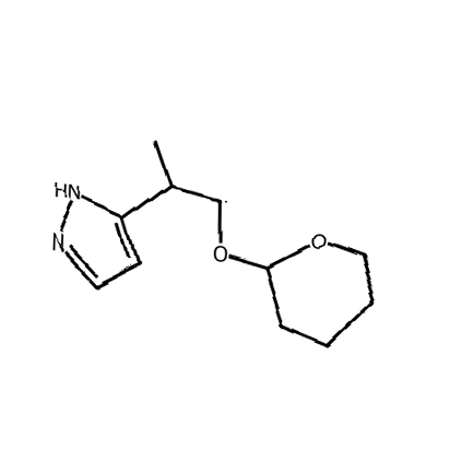 CC([CH]OC1CCCCO1)c1ccn[nH]1